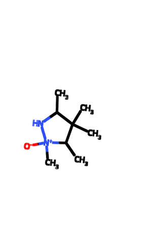 CC1N[N+](C)([O-])C(C)C1(C)C